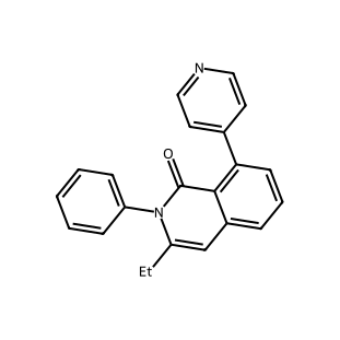 CCc1cc2cccc(-c3ccncc3)c2c(=O)n1-c1ccccc1